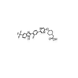 O=C(O)C[C@H]1CC[C@@H](Oc2cnc(-c3ccc(-c4nc5cc(C(F)(F)F)ccc5[nH]4)c(F)c3)cn2)CC1